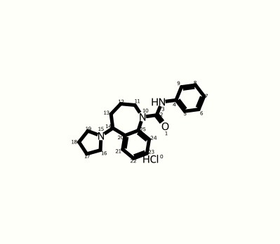 Cl.O=C(Nc1ccccc1)N1CCCC(N2CCCC2)c2ccccc21